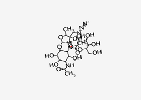 CC(=O)NC1C(O)C(O)C(OC2OC(C)C(O)(CN=[N+]=[N-])[C@@H]2OC2OC(CO)C(O)C(O)C2C)C(NC(C)=O)C1O